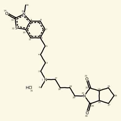 CN(CCCCc1ccc2c(c1)sc(=O)n2C)CCCCN1C(=O)C2CCCC2C1=O.Cl